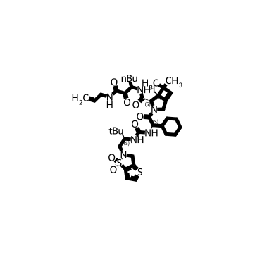 C=CCNC(=O)C(=O)C(CCCC)NC(=O)[C@@H]1[C@@H]2C(=CC2(C)C)CN1C(=O)[C@@H](NC(=O)N[C@H](CN1Cc2sccc2S1(=O)=O)C(C)(C)C)C1CCCCC1